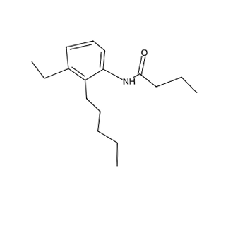 CCCCCc1c(CC)cccc1NC(=O)CCC